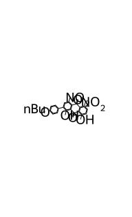 CCCCOc1ccc(-c2cc([N+](=O)[O-])c3c(c2O)C(=O)c2c(O)ccc([N+](=O)[O-])c2C3=O)cc1